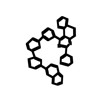 c1ccc(-c2nc(-c3cccc(-c4cccc(-c5cccc(-c6ccc7ccccc7c6)c5)c4)c3)c3c(ccc4ccccc43)n2)cc1